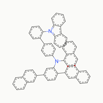 c1ccc(-n2c3ccccc3c3ccccc32)c(-c2ccc(N(c3cc(-c4ccc5ccccc5c4)ccc3-c3ccc4ccccc4c3)c3cccc4ccccc34)cc2)c1